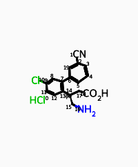 Cl.N#Cc1cccc(-c2cc(Cl)ccc2[C@H](CN)CC(=O)O)c1